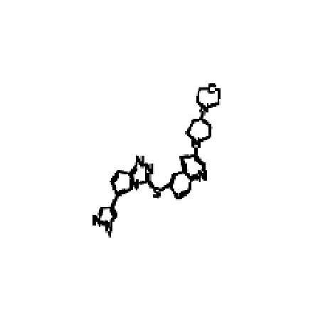 Cn1cc(-c2ccc3nnc(Sc4ccc5ncc(N6CCC(N7CCCCC7)CC6)cc5c4)n3c2)cn1